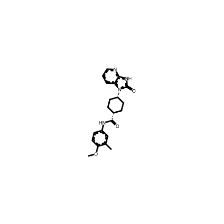 COc1ccc(NC(=O)[C@H]2CC[C@@H](n3c(=O)[nH]c4ncccc43)CC2)cc1C